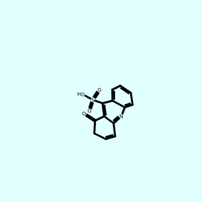 O=C1CC=Cc2nc3ccccc3c(S(=O)(=O)O)c21